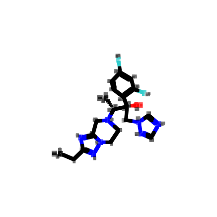 CCc1nc2n(n1)CCN([C@H](C)[C@](O)(Cn1cncn1)c1ccc(F)cc1F)C2